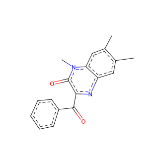 Cc1cc2nc(C(=O)c3ccccc3)c(=O)n(C)c2cc1C